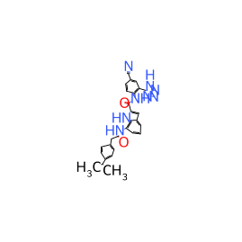 CC(C)c1ccc(CC(=O)Nc2cccc3cc(C(=O)Nc4ccc(C#N)cc4-c4nnn[nH]4)[nH]c23)cc1